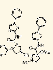 CO[C@@]1(C(=O)Nc2ncc(-c3ccccc3)s2)CCN(C#N)C1.N#CN1C[C@@H](C(=O)Nc2ncc(-c3ccccc3)s2)[C@H](c2cncnc2)C1